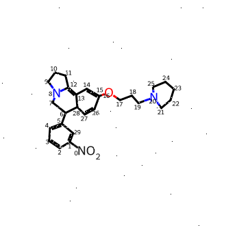 O=[N+]([O-])c1cccc(C2CN3CCCC3=C3C=C(OCCCN4CCCCC4)C=CC32)c1